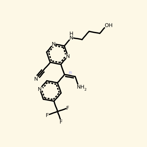 N#Cc1cnc(NCCCO)nc1/C(=C/N)c1cncc(C(F)(F)F)c1